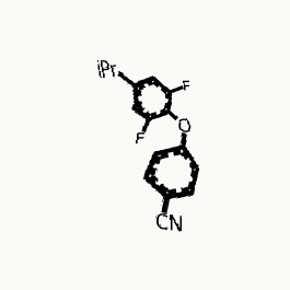 CC(C)c1cc(F)c(Oc2ccc(C#N)cc2)c(F)c1